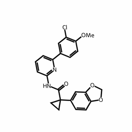 COc1ccc(-c2cccc(NC(=O)C3(c4ccc5c(c4)OCO5)CC3)n2)cc1Cl